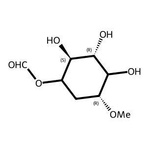 CO[C@@H]1CC(OC=O)[C@@H](O)[C@H](O)C1O